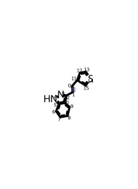 C(=C\c1n[nH]c2ccccc12)/c1ccsc1